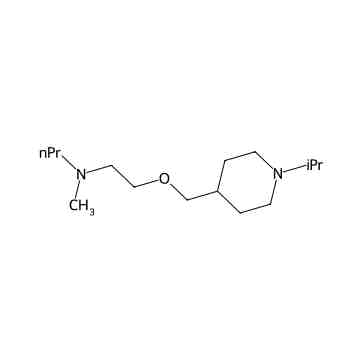 CCCN(C)CCOCC1CCN(C(C)C)CC1